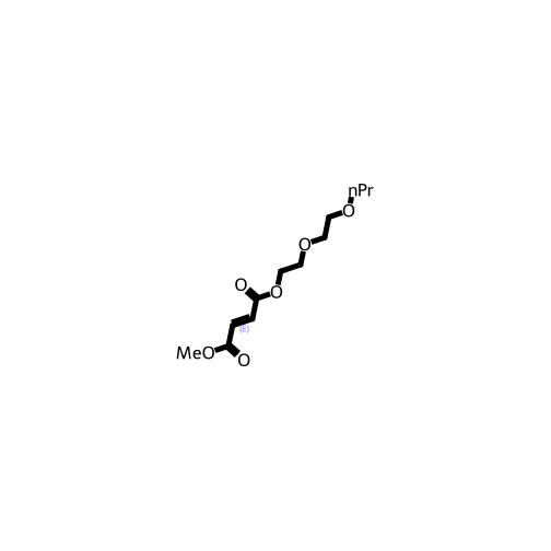 CCCOCCOCCOC(=O)/C=C/C(=O)OC